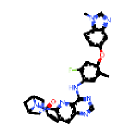 C=CC(=O)N1C2CC1CN(c1ccc3ncnc(Nc4cc(C)c(Oc5ccc6c(c5)ncn6C)cc4F)c3n1)C2